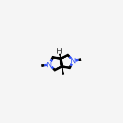 CN1C[C@H]2CN(C)C[C@@]2(C)C1